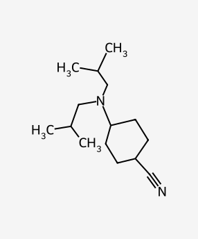 CC(C)CN(CC(C)C)C1CCC(C#N)CC1